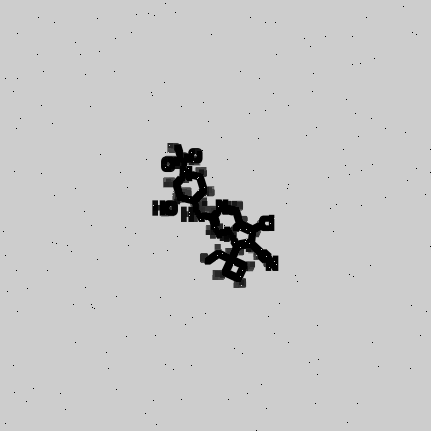 CCC1(c2c(C#N)c(Cl)c3cnc(N[C@@H]4CCN(S(C)(=O)=O)C[C@H]4O)nn23)CCC1